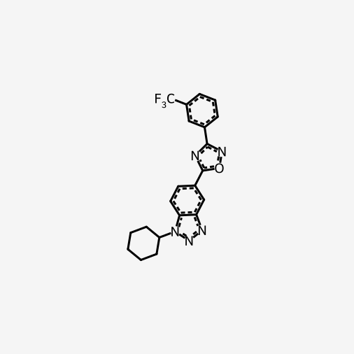 FC(F)(F)c1cccc(-c2noc(-c3ccc4c(c3)nnn4C3CCCCC3)n2)c1